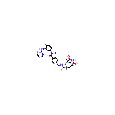 Cc1ccc(NC(=O)c2ccc(CNC(=O)C3(C)CC4(C)CC(C)(C3)C(=O)NC4=O)cc2)cc1Nc1ncccn1